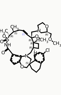 COC[C@H]1CN(C[C@]2(OC)/C=C/C[C@H](C)[C@@H](C)S(=O)(=O)NC(=O)c3ccc4c(c3)N(C[C@@H]3CC[C@H]32)C[C@@]2(CCCc3cc(Cl)ccc32)CO4)CCO1